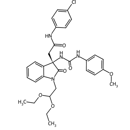 CCOC(CN1C(=O)[C@@](CC(=O)Nc2ccc(Cl)cc2)(NC(=O)Nc2ccc(OC)cc2)c2ccccc21)OCC